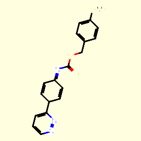 COc1ccc(COC(=O)N=C2C=CC(c3cccnn3)C=C2)cc1